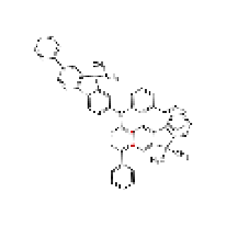 CC1(C)c2cc(-c3ccccc3)ccc2-c2ccc(N(c3ccc(-c4ccccc4)cc3)c3cccc(-c4ccccc4)c3-c3cccc4c3-c3ccccc3C4(C)C)cc21